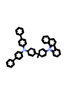 CC1(C2=CCC(N(c3ccc(-c4ccccc4)cc3)c3ccc(-c4ccccc4)cc3)C=C2)C=CC(n2c3ccccc3c3ccc4ccccc4c32)=CC1